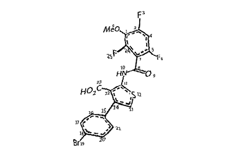 COc1c(F)cc(F)c(C(=O)Nc2scc(-c3ccc(Br)cc3)c2C(=O)O)c1F